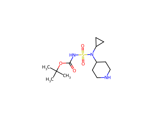 CC(C)(C)OC(=O)NS(=O)(=O)N(C1CCNCC1)C1CC1